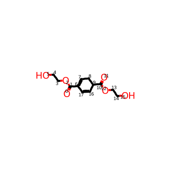 O=C(OCCO)C1=CCC(C(=O)OCCO)C=C1